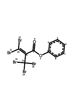 O=C(Oc1ccccc1)C(=C(Br)Br)C(Br)(Br)Br